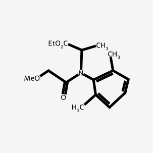 CCOC(=O)C(C)N(C(=O)COC)c1c(C)cccc1C